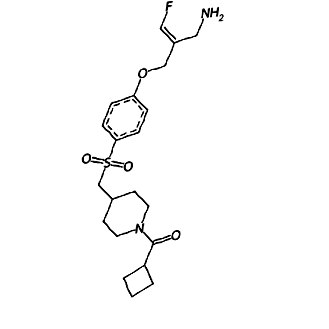 NCC(=CF)COc1ccc(S(=O)(=O)CC2CCN(C(=O)C3CCC3)CC2)cc1